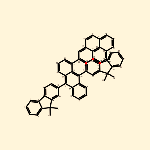 CC1(C)c2ccccc2-c2ccc(-c3c4ccccc4c(-c4ccc5c(c4)C(C)(C)c4ccccc4-5)c4c(-c5cc6ccc7cccc8ccc(c5)c6c78)cccc34)cc21